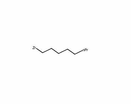 CCCCCCC[CH2][Zr]